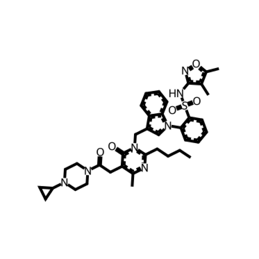 CCCCc1nc(C)c(CC(=O)N2CCN(C3CC3)CC2)c(=O)n1Cc1cn(-c2ccccc2S(=O)(=O)Nc2noc(C)c2C)c2ccccc12